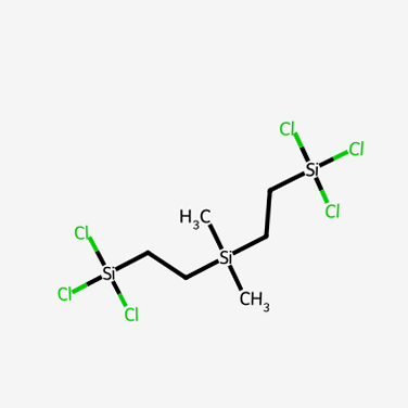 C[Si](C)(CC[Si](Cl)(Cl)Cl)CC[Si](Cl)(Cl)Cl